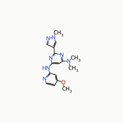 COc1ccnc(Nc2cc(N(C)C)nc(-c3cnn(C)c3)n2)c1